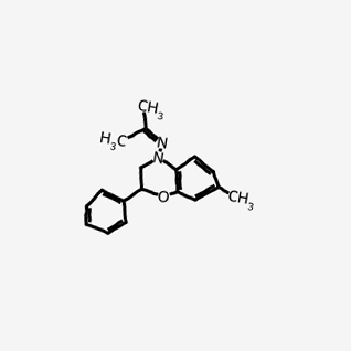 CC(C)=NN1CC(c2ccccc2)Oc2cc(C)ccc21